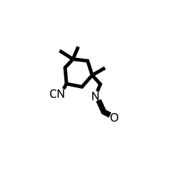 [C-]#[N+]C1CC(C)(C)CC(C)(CN=C=O)C1